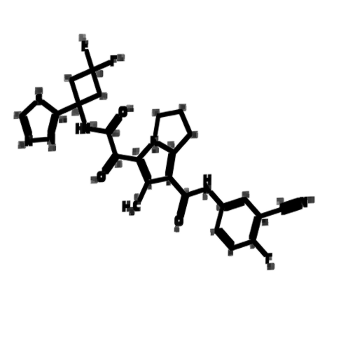 Cc1c(C(=O)Nc2ccc(F)c(C#N)c2)c2n(c1C(=O)C(=O)NC1(c3nncs3)CC(F)(F)C1)CCC2